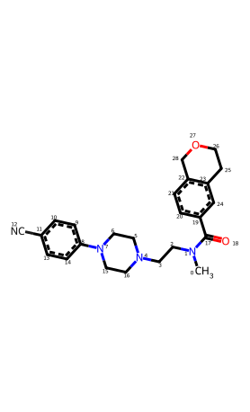 CN(CCN1CCN(c2ccc(C#N)cc2)CC1)C(=O)c1ccc2c(c1)CCOC2